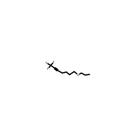 [CH2]CCOCCCCC#CC(F)(F)F